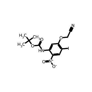 CC(C)(C)OC(=O)Nc1cc(OCC#N)c(I)cc1[N+](=O)[O-]